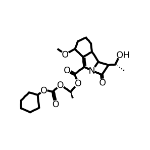 COC1CCCC2C1=C(C(=O)O[C@@H](C)OC(=O)OC1CCCCC1)N1C(=O)C([C@@H](C)O)C21